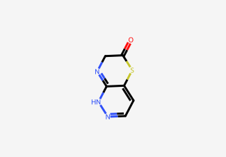 O=C1CN=C2NN=CC=C2S1